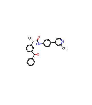 Cc1cc(-c2ccc(NC(=O)[C@@H](C)c3cccc(C(=O)c4ccccc4)c3)cc2)ccn1